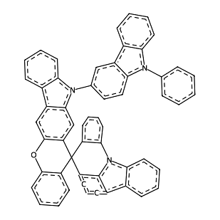 c1ccc(-n2c3ccccc3c3cc(-n4c5ccccc5c5cc6c(cc54)C4(c5ccccc5O6)c5ccccc5-n5c6ccccc6c6cccc4c65)ccc32)cc1